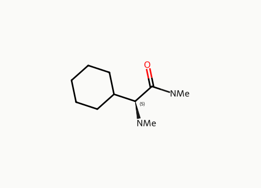 CNC(=O)[C@@H](NC)C1CCCCC1